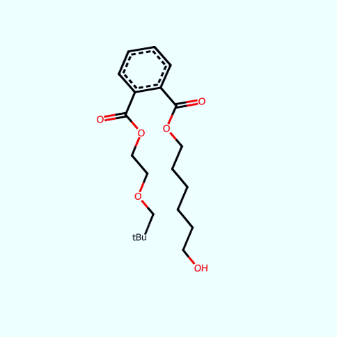 CC(C)(C)COCCOC(=O)c1ccccc1C(=O)OCCCCCCO